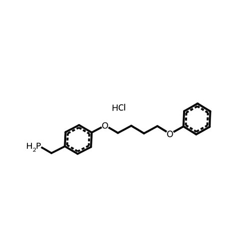 Cl.PCc1ccc(OCCCCOc2ccccc2)cc1